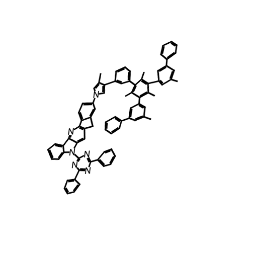 Cc1cc(-c2ccccc2)cc(-c2c(C)c(-c3cc(C)cc(-c4ccccc4)c3)c(C)c(-c3cccc(-c4cn(-c5ccc6c(c5)Cc5cc7c(nc5-6)c5ccccc5n7-c5nc(-c6ccccc6)nc(-c6ccccc6)n5)cc4C)c3)c2C)c1